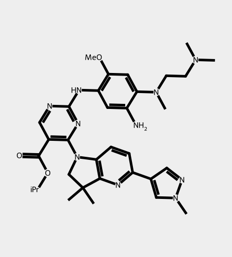 COc1cc(N(C)CCN(C)C)c(N)cc1Nc1ncc(C(=O)OC(C)C)c(N2CC(C)(C)c3nc(-c4cnn(C)c4)ccc32)n1